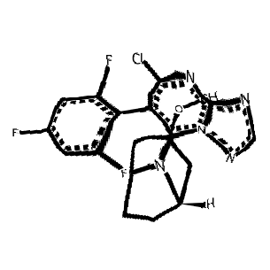 CO[C@@H]1CC2CC[C@@H](C1)N2c1c(-c2c(F)cc(F)cc2F)c(Cl)nc2ncnn12